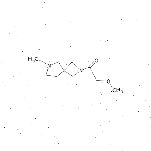 COCC(=O)N1CC2(CCN(C)C2)C1